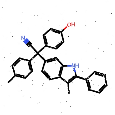 Cc1ccc(C(C#N)(c2ccc(O)cc2)c2ccc3c(C)c(-c4ccccc4)[nH]c3c2)cc1